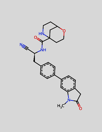 CN1C(=O)Cc2ccc(-c3ccc(C[C@@H](C#N)NC(=O)C45CCOC(CCN4)C5)cc3)cc21